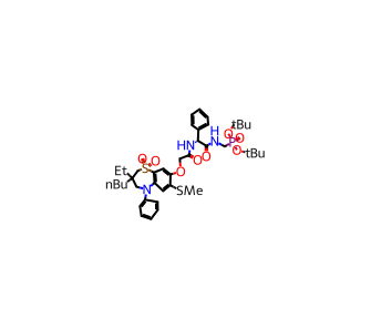 CCCCC1(CC)CN(c2ccccc2)c2cc(SC)c(OCC(=O)N[C@@H](C(=O)NCP(=O)(OC(C)(C)C)OC(C)(C)C)c3ccccc3)cc2S(=O)(=O)C1